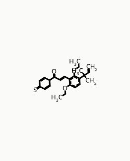 C=CC(C)(C)c1ccc(OCC)c(/C=C/C(=O)C2C=CC(=S)C=C2)c1OCC